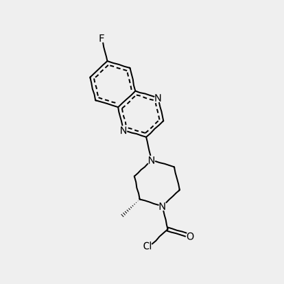 C[C@@H]1CN(c2cnc3cc(F)ccc3n2)CCN1C(=O)Cl